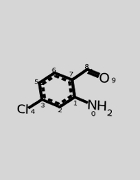 Nc1cc(Cl)ccc1[C]=O